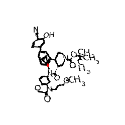 COCCCN1C(=O)COc2ccc(N(C(=O)[C@H]3CN(C(=O)OC(C)(C)C)CC[C@@H]3c3cccc(-c4ccc(C#N)c(O)c4)c3)C3CC3)cc21